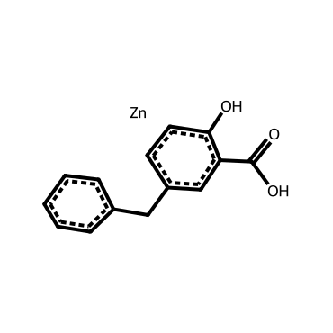 O=C(O)c1cc(Cc2ccccc2)ccc1O.[Zn]